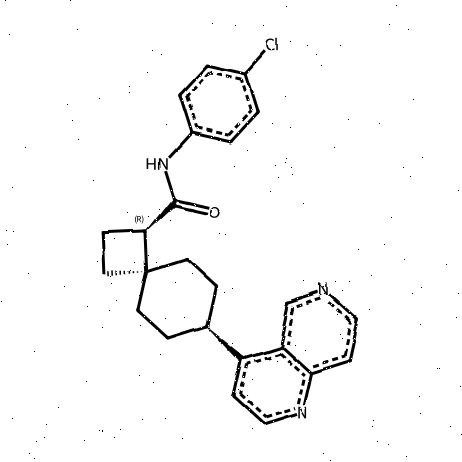 O=C(Nc1ccc(Cl)cc1)[C@@H]1CC[C@]12CC[C@H](c1ccnc3ccncc31)CC2